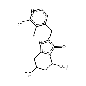 O=C(O)C1CC(C(F)(F)F)Cc2nn(Cc3ccnc(C(F)(F)F)c3F)c(=O)n21